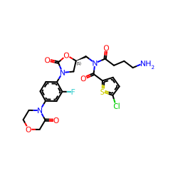 NCCCC(=O)N(C[C@H]1CN(c2ccc(N3CCOCC3=O)cc2F)C(=O)O1)C(=O)c1ccc(Cl)s1